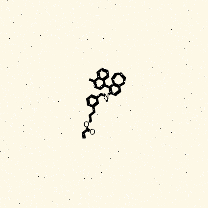 C=CC(=O)OCCCc1cccc(CN(C)c2ccc3c(c2-c2ccc(C)c4ccccc24)C=CC=CC3)c1